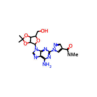 CNC(=O)c1cnn(-c2nc(N)c3ncn(C4OC(CO)C5OC(C)(C)OC54)c3n2)c1